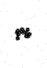 c1ccc(C2=NC(c3ccc(-c4cccc5oc6cc(-c7ccccc7)ccc6c45)c4ccccc34)NC(c3cccc4oc5ccccc5c34)=N2)cc1